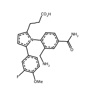 COc1ccc(-c2ccc(CCC(=O)O)n2-c2ccc(C(N)=O)cc2CN)cc1F